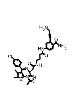 Cc1sc2c(c1C)C(c1ccc(Cl)cc1)=N[C@@H](CC(=O)NCCCC(=O)Nc1ccc(C(N)=O)c(C#CCN)c1)c1nnc(C)n1-2